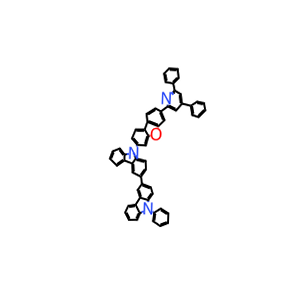 c1ccc(-c2cc(-c3ccccc3)nc(-c3ccc4c(c3)oc3cc(-n5c6ccccc6c6cc(-c7ccc8c(c7)c7ccccc7n8-c7ccccc7)ccc65)ccc34)c2)cc1